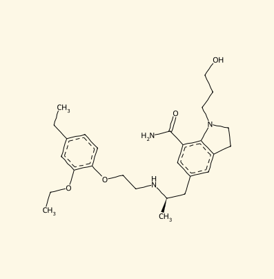 CCOc1cc(CC)ccc1OCCN[C@H](C)Cc1cc2c(c(C(N)=O)c1)N(CCCO)CC2